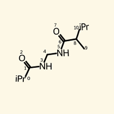 CC(C)C(=O)NCNC(=O)C(C)C(C)C